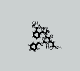 COC(=O)c1ccccc1-c1nnnn1CC(=O)C(CC(=O)O)NC(=O)OCc1ccccc1